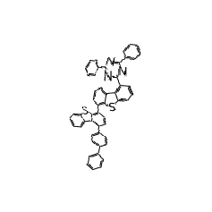 c1ccc(-c2ccc(-c3ccc(-c4cccc5c4sc4cccc(-c6nc(-c7ccccc7)nc(-c7ccccc7)n6)c45)c4sc5ccccc5c34)cc2)cc1